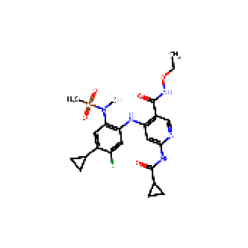 CCONC(=O)c1cnc(NC(=O)C2CC2)cc1Nc1cc(F)c(C2CC2)cc1N(C)S(C)(=O)=O